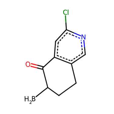 BC1CCc2cnc(Cl)cc2C1=O